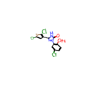 O=c1[nH]c(-c2cc(Cl)sc2Cl)nn1-c1cc(Cl)ccc1O